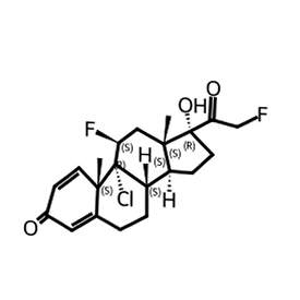 C[C@]12C=CC(=O)C=C1CC[C@H]1[C@@H]3CC[C@](O)(C(=O)CF)[C@@]3(C)C[C@H](F)[C@@]12Cl